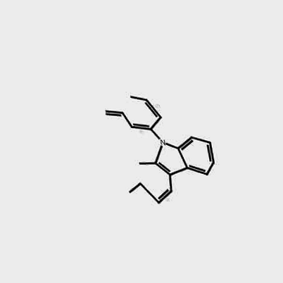 C=C/C=C(\C=C/C)n1c(C)c(/C=C\CC)c2ccccc21